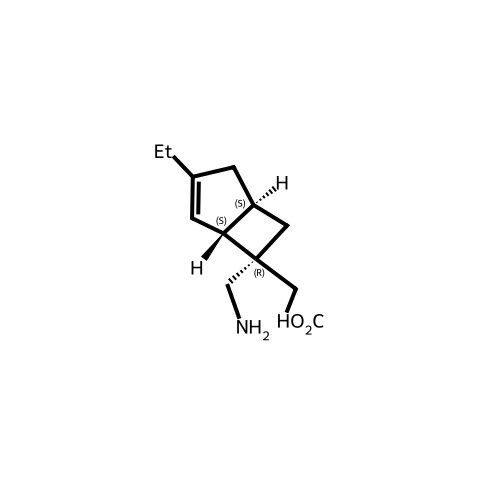 CCC1=C[C@@H]2[C@@H](C1)C[C@@]2(CN)CC(=O)O